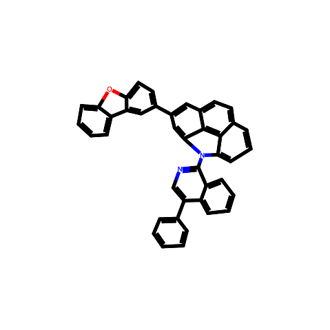 c1ccc(-c2cnc(-n3c4cccc5ccc6cc(-c7ccc8oc9ccccc9c8c7)cc3c6c54)c3ccccc23)cc1